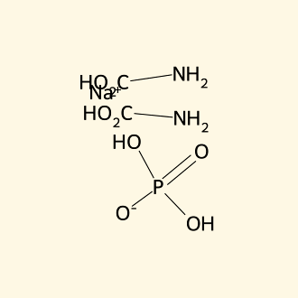 NC(=O)O.NC(=O)O.O=P([O-])(O)O.[Na+]